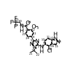 COc1cc(-c2nc(Nc3ccc4[nH]ncc4c3Cl)n(C(C)C)n2)ccc1C(=O)NCC(F)(F)F